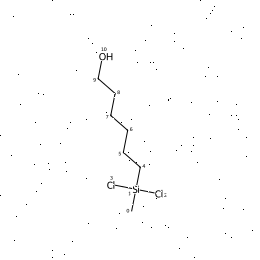 C[Si](Cl)(Cl)CCCCCCO